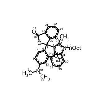 CCCCCCCCn1c(C)c(C2(c3ccc(N(C)C)cc3OCC)OC(=O)c3cccnc32)c2ccccc21